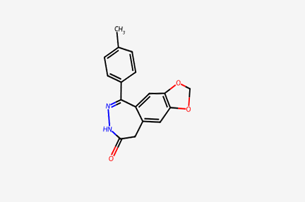 Cc1ccc(C2=NNC(=O)Cc3cc4c(cc32)OCO4)cc1